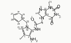 Cc1c(N)c(NC(=O)Cn2cnc3c2c(=O)n(C)c(=O)n3C)n(Cc2ccccc2)c1C